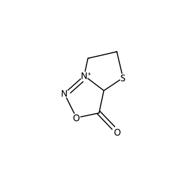 O=C1ON=[N+]2CCSC12